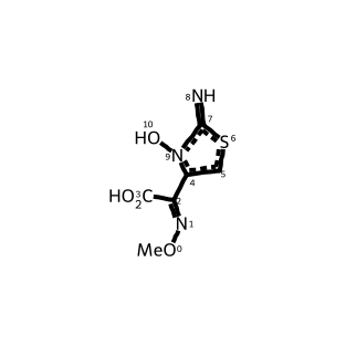 CON=C(C(=O)O)c1csc(=N)n1O